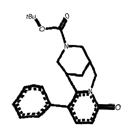 CC(C)(C)OC(=O)N1CC2CC(C1)c1c(-c3ccccc3)ccc(=O)n1C2